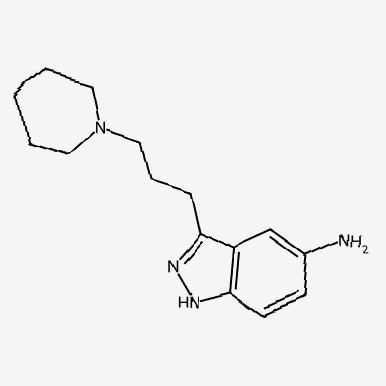 Nc1ccc2[nH]nc(CCCN3CCCCC3)c2c1